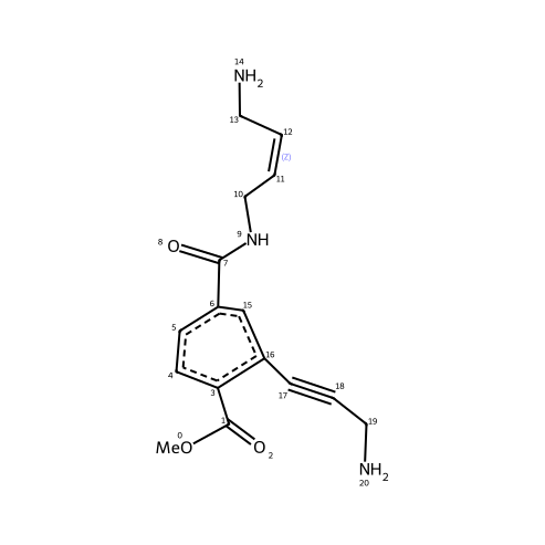 COC(=O)c1ccc(C(=O)NC/C=C\CN)cc1C#CCN